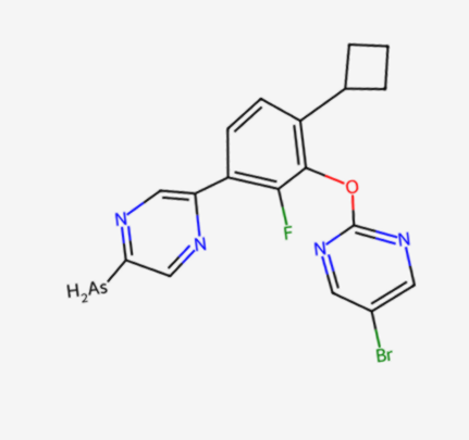 Fc1c(-c2cnc([AsH2])cn2)ccc(C2CCC2)c1Oc1ncc(Br)cn1